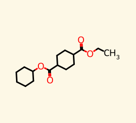 CCOC(=O)C1CCC(C(=O)OC2CCCCC2)CC1